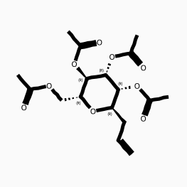 C=CC[C@H]1O[C@H](COC(C)=O)[C@@H](OC(C)=O)[C@H](OC(C)=O)[C@@H]1OC(C)=O